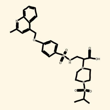 Cc1cc(COc2ccc(S(=O)(=O)NCC(C(=O)O)N3CCN(S(=O)(=O)C(C)C)CC3)cc2)c2ccccc2n1